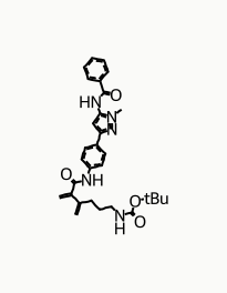 C=C(CCCNC(=O)OC(C)(C)C)C(=C)C(=O)Nc1ccc(-c2cc(NC(=O)c3ccccc3)n(C)n2)cc1